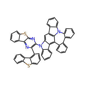 c1ccc2c(c1)-c1ccccc1-n1c3ccccc3c3cc4c(c-2c31)c1ccccc1n4-c1nc2sc3ccccc3c2nc1-c1cccc2sc3ccccc3c12